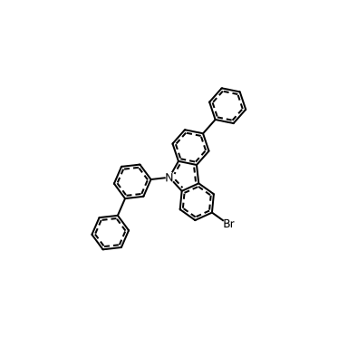 Brc1ccc2c(c1)c1cc(-c3ccccc3)ccc1n2-c1cccc(-c2ccccc2)c1